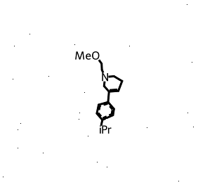 COCCN1CCC=C(c2ccc(C(C)C)cc2)C1